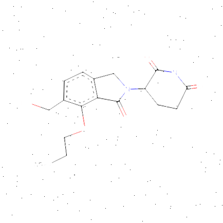 COCCOc1c(CO)ccc2c1C(=O)N(C1CCC(=O)NC1=O)C2